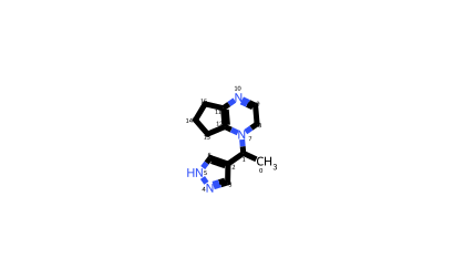 CC(c1cn[nH]c1)N1CC=NC2=C1CCC2